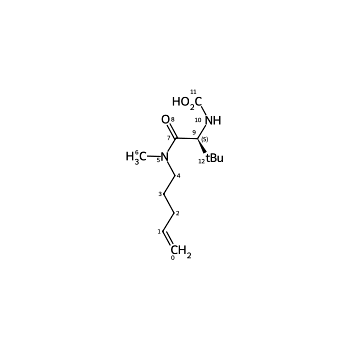 C=CCCCN(C)C(=O)[C@@H](NC(=O)O)C(C)(C)C